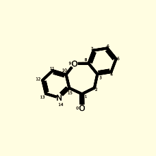 O=C1Cc2ccccc2Oc2cccnc21